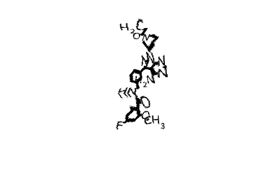 C=CC(=O)N1CCCC(n2nc(-c3cccc(CNC(=O)c4ccc(F)cc4OC)c3)c3c(N)ncnc32)C1